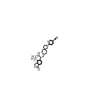 CN[C@@H](CN1CCC2(CC1)CCN(c1ccc(C#N)cn1)C2)c1ccc2c(c1C)COC2=O